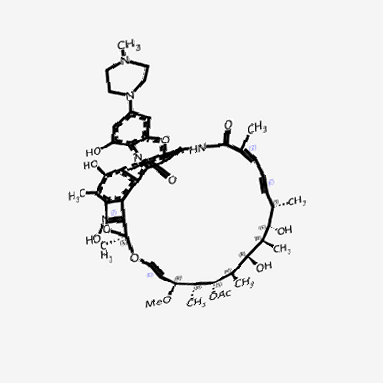 CO[C@H]1/C=C/O[C@@]2(C)Oc3c(C)c(O)c4c(=O)c(c5oc6cc(N7CCN(C)CC7)cc(O)c6nc-5c4c3/C2=N/O)NC(=O)/C(C)=C\C=C\[C@H](C)[C@H](O)[C@@H](C)[C@@H](O)[C@@H](C)[C@H](OC(C)=O)[C@@H]1C